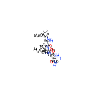 COc1cccc2[nH]c(C(=O)N3C[C@H]4C([C@H]3C(=O)N[C@@H](C[C@@H]3CCNC3=O)C(N)=O)C4(C)C)cc12